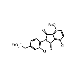 CCOC(=O)Cc1ccc(N2C(=O)c3c(Cl)ccc(OCC(C)C)c3C2=O)c(Cl)c1